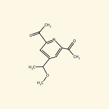 COC(C)c1cc(C(C)=O)nc(C(C)=O)c1